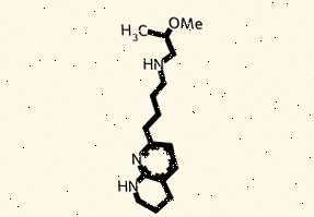 COC(C)CNCCCCc1ccc2c(n1)NCCC2